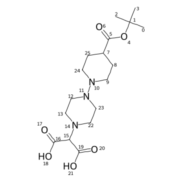 CC(C)(C)OC(=O)C1CCN(N2CCN(C(C(=O)O)C(=O)O)CC2)CC1